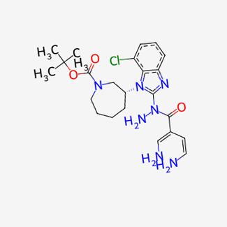 CC(C)(C)OC(=O)N1CCCC[C@@H](n2c(N(N)C(=O)C(/C=C\N)=C/N)nc3cccc(Cl)c32)C1